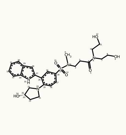 CN(CCC(=O)N(CCO)CCO)S(=O)(=O)c1ccc(N2CC[C@H](O)C2)c(-c2cc3ccccc3[nH]2)c1